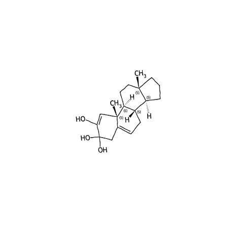 C[C@@]12CCC[C@H]1[C@@H]1CC=C3CC(O)(O)C(O)=C[C@]3(C)[C@H]1CC2